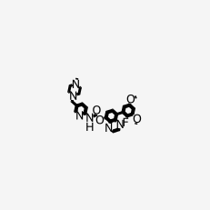 COc1cc(OC)c(F)c(-c2ccc(OC(=O)Nc3ccc(CN4CCN(C)CC4)cn3)c3nccnc23)c1